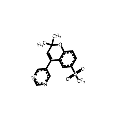 CC1(C)C=C(c2cncnc2)c2cc(S(=O)(=O)C(F)(F)F)ccc2O1